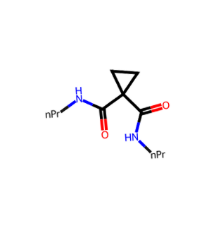 CCCNC(=O)C1(C(=O)NCCC)CC1